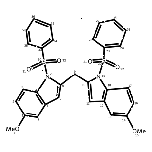 COc1ccc2c(c1)cc(Cc1cc3cc(OC)ccc3n1S(=O)(=O)c1ccccc1)n2S(=O)(=O)c1ccccc1